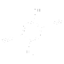 C#Cc1cc(N)c(C#C)cc1N